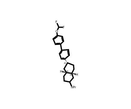 CCCC1CC[C@@H]2C[C@H](c3ccc(-c4ccc(OC(F)F)cc4)cc3)CC[C@@H]2C1